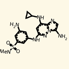 CNS(=O)(=O)c1cc(N)cc(Nc2cc(NC3CC3)c3ncc(N)n3n2)c1